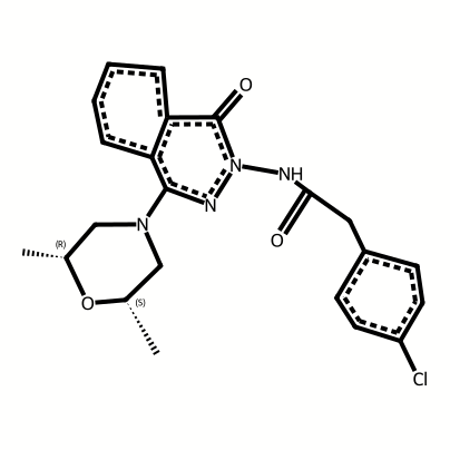 C[C@@H]1CN(c2nn(NC(=O)Cc3ccc(Cl)cc3)c(=O)c3ccccc23)C[C@H](C)O1